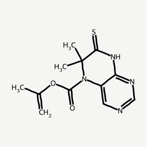 C=C(C)OC(=O)N1c2cncnc2NC(=S)C1(C)C